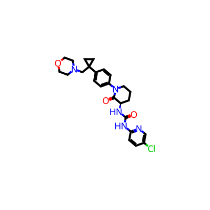 O=C(Nc1ccc(Cl)cn1)N[C@@H]1CCCN(c2ccc(C3(CN4CCOCC4)CC3)cc2)C1=O